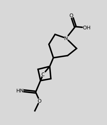 COC(=N)C12CC(C3CCN(C(=O)O)CC3)(C1)C2